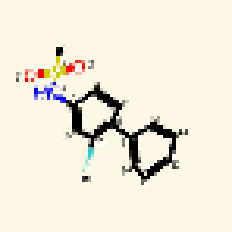 CS(=O)(=O)Nc1ccc(-c2ccccc2)c(F)c1